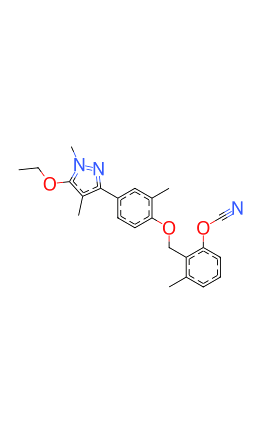 CCOc1c(C)c(-c2ccc(OCc3c(C)cccc3OC#N)c(C)c2)nn1C